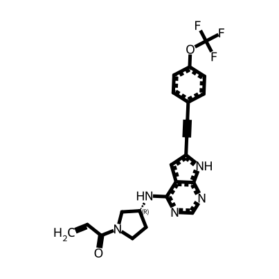 C=CC(=O)N1CC[C@@H](Nc2ncnc3[nH]c(C#Cc4ccc(OC(F)(F)F)cc4)cc23)C1